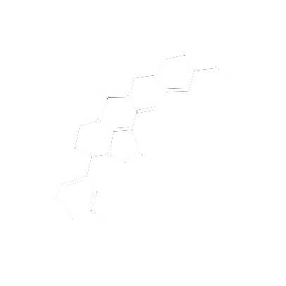 O=c1c2ncn3c2n(c(=O)n1Cc1ccc([N+](=O)[O-])cc1)CC=C3c1cccc(C(F)(F)F)c1